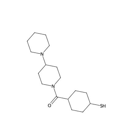 O=C(C1CCC(S)CC1)N1CCC(N2CCCCC2)CC1